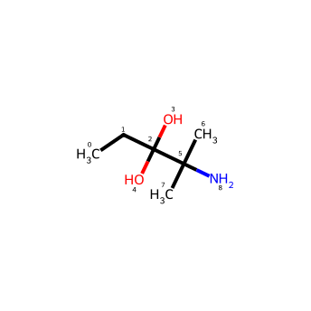 CCC(O)(O)C(C)(C)N